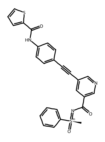 C[S@](=O)(=NC(=O)c1cncc(C#Cc2ccc(NC(=O)c3cccs3)cc2)c1)c1ccccc1